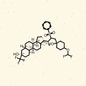 C[C@H](C(CC1(O)CCC(OC(F)F)CC1)S(=O)(=O)c1ccccc1)[C@H]1CC[C@H]2[C@@H]3CC[C@H]4C[C@](O)(C(F)(F)F)CC[C@]4(C)[C@H]3CC[C@]12C